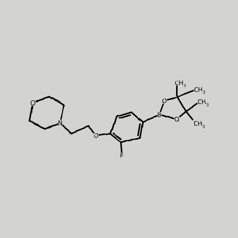 CC1(C)OB(c2ccc(OCCN3CCOCC3)c(F)c2)OC1(C)C